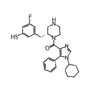 O=C(c1ncn(C2CCCCC2)c1-c1ccccc1)N1CCNC[C@H]1Cc1cc(F)cc(S)c1